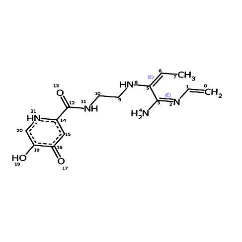 C=C/N=C(N)\C(=C/C)NCCNC(=O)c1cc(=O)c(O)c[nH]1